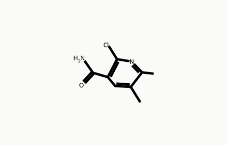 Cc1cc(C(N)=O)c(Cl)nc1C